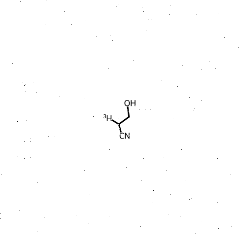 [3H]C(C#N)CO